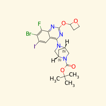 CC(C)(C)OC(=O)N1C[C@@H]2C[C@H]1CN2c1nc(OC2CCO2)nc2c(F)c(Br)c(I)cc12